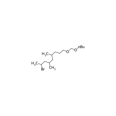 CCCCOCOCCCC(C)CC(C)CC(C)Br